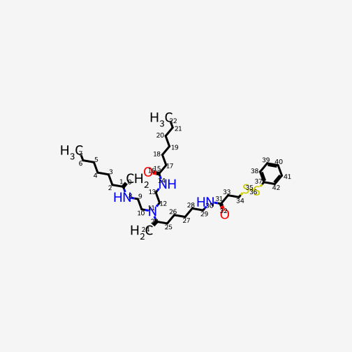 C=C(CCCCCC)NCCN(CCNC(=O)CCCCCC)C(=C)CCCCCNC(=O)CCSSc1ccccc1